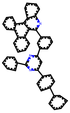 c1ccc(-c2ccc(-c3cc(-c4cccc(-c5nc6ccccc6c6c7ccccc7c7ccccc7c56)c4)nc(-c4ccccc4)n3)cc2)cc1